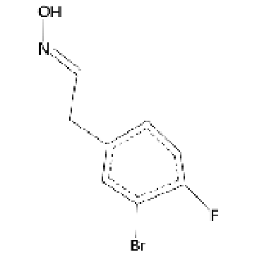 ON=CCc1ccc(F)c(Br)c1